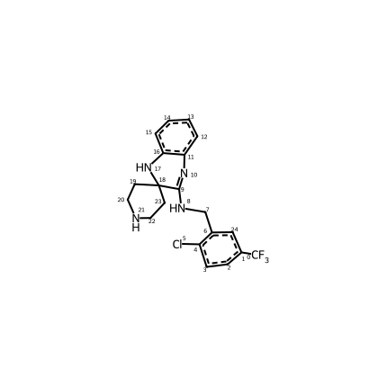 FC(F)(F)c1ccc(Cl)c(CNC2=Nc3ccccc3NC23CCNCC3)c1